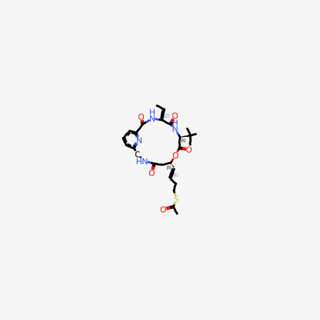 C/C=C1\NC(=O)c2cccc(n2)CNC(=O)C[C@@H](/C=C/CCSC(C)=O)OC(=O)[C@H](C(C)(C)C)NC1=O